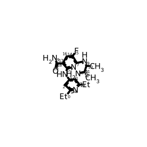 CCc1cc(Nc2nc(NC(C)[C@H](C)N)c(F)cc2C(N)=O)cc(CC)n1